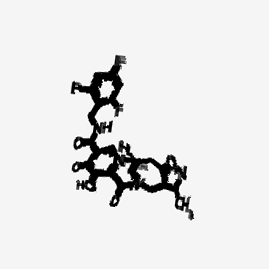 Cc1noc2c1CN1C[C@H](C2)n2cc(C(=O)NCc3c(F)cc(F)cc3F)c(=O)c(O)c2C1=O